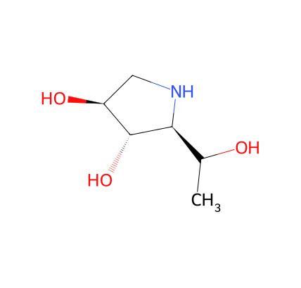 CC(O)[C@@H]1NC[C@H](O)[C@H]1O